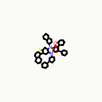 c1ccc(-c2cccc(N(c3cccc(-c4ccccc4)c3)c3cc4c(cc3N(c3ccc5ccccc5c3)c3cccc5c3oc3ccccc35)sc3ccc5ccccc5c34)c2)cc1